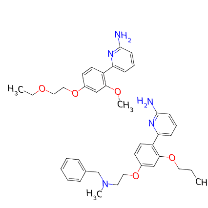 CCCOc1cc(OCCN(C)Cc2ccccc2)ccc1-c1cccc(N)n1.CCOCCOc1ccc(-c2cccc(N)n2)c(OC)c1